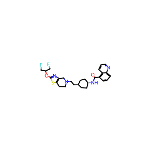 O=C(N[C@H]1CC[C@H](CCN2CCc3sc(OC(CF)CF)nc3C2)CC1)c1cccc2ncccc12